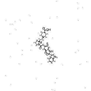 Cn1cc(C(=O)Nc2cc(F)c(CC(=O)N3CCC[C@@]3(F)CCN3CCC(C(=O)O)CC3)cc2Cl)c2ccccc21